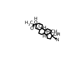 CC(=O)C1(O)CC[C@@]2(C)C(CC[C@@H]3[C@H]2CC[C@@]2(C)[C@H]3CCC2(O)C#N)C1